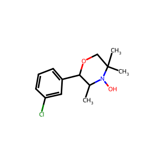 CC1C(c2cccc(Cl)c2)OCC(C)(C)N1O